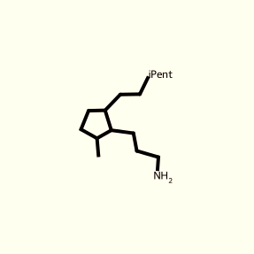 CCCC(C)CCC1CCC(C)C1CCCN